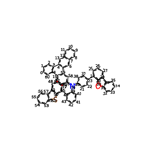 c1ccc(-c2ccc3ccccc3c2)c(-c2ccc(N(c3ccc(-c4cccc5c4oc4ccccc45)cc3)c3ccccc3-c3cccc4c3sc3ccccc34)cc2)c1